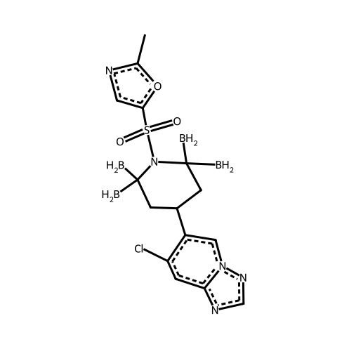 BC1(B)CC(c2cn3ncnc3cc2Cl)CC(B)(B)N1S(=O)(=O)c1cnc(C)o1